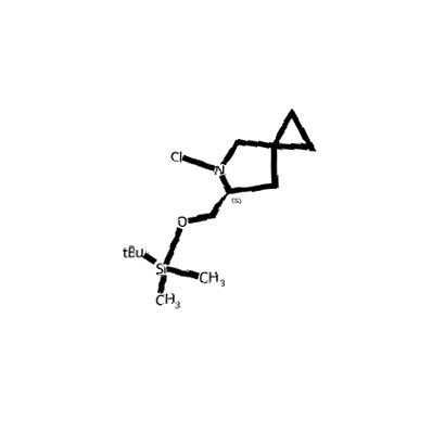 CC(C)(C)[Si](C)(C)OC[C@@H]1CC2(CC2)CN1Cl